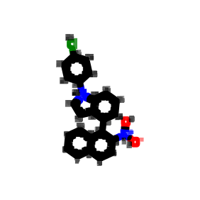 O=[N+]([O-])c1ccc2ccccc2c1-c1cccc2c1ccn2-c1ccc(Cl)cc1